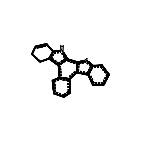 C1=Cc2[nH]c3c4sc5ccccc5c4c4ccccc4c3c2CC1